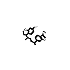 CC(C)c1ccc2c(c1)OCCC2C(C)CCC(C)c1ccc2c(C(C)C)coc2c1